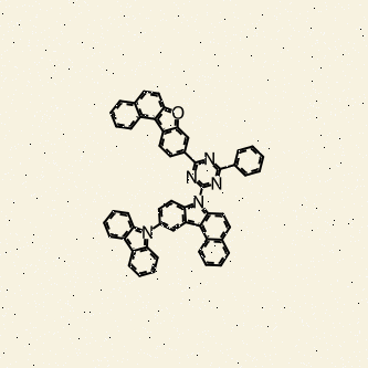 c1ccc(-c2nc(-c3ccc4c(c3)oc3ccc5ccccc5c34)nc(-n3c4ccc(-n5c6ccccc6c6ccccc65)cc4c4c5ccccc5ccc43)n2)cc1